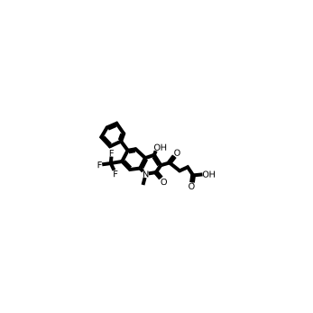 Cn1c(=O)c(C(=O)CCC(=O)O)c(O)c2cc(-c3ccccc3)c(C(F)(F)F)cc21